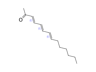 CCCCCC/C=C/C=C/C=C/C(C)=O